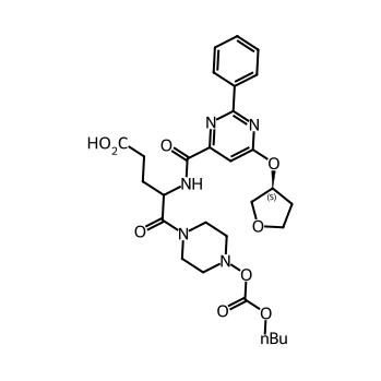 CCCCOC(=O)ON1CCN(C(=O)C(CCC(=O)O)NC(=O)c2cc(O[C@H]3CCOC3)nc(-c3ccccc3)n2)CC1